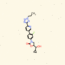 CCCn1nnc(-c2ccc(-c3ccc(N4CC(C(O)C5CC5)OC4=O)cc3F)cn2)n1